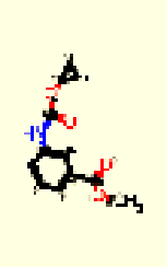 COC(=O)c1cccc(NC(=O)OC2CC2)c1